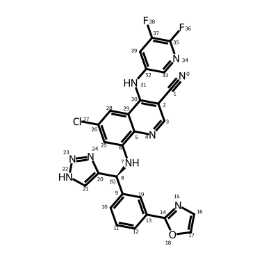 N#Cc1cnc2c(N[C@@H](c3cccc(-c4ncco4)c3)c3c[nH]nn3)cc(Cl)cc2c1Nc1cnc(F)c(F)c1